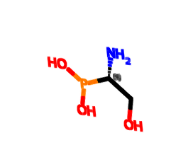 N[C@H](CO)P(O)O